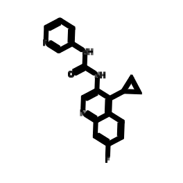 O=C(Nc1cccnc1)Nc1cnc2cc(F)ccc2c1C1CC1